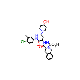 Cc1cc(NC(=O)C(CCN2CCC(O)CC2)NC(=O)C2Cc3ccccc3CN2C(=O)O)ccc1Cl